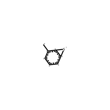 Cc1cccc2c1S2